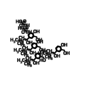 CC(C)(C)NCC(O)c1ccc(O)c(CO)c1.CC(C)(C)NCC(O)c1ccc(O)c(CO)c1.CC(C)(C)NCC(O)c1ccc(O)c(CO)c1.CC(C)(C)NCC(O)c1ccc(O)c(CO)c1.O=S(=O)(O)O.O=S(=O)(O)O